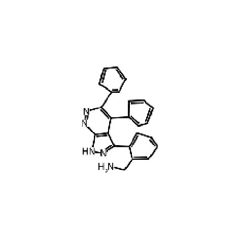 NCc1ccccc1-c1n[nH]c2nnc(-c3ccccc3)c(-c3ccccc3)c12